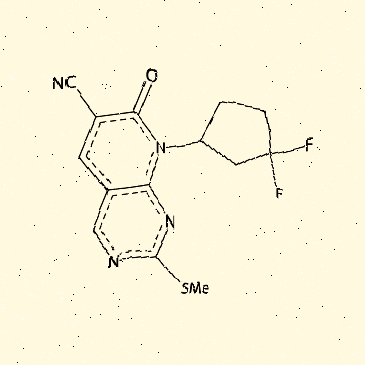 CSc1ncc2cc(C#N)c(=O)n(C3CCC(F)(F)C3)c2n1